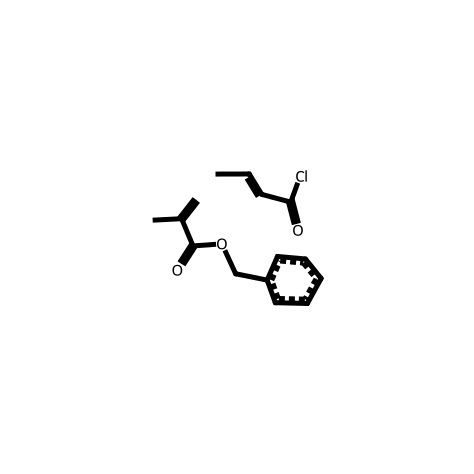 C=C(C)C(=O)OCc1ccccc1.CC=CC(=O)Cl